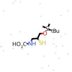 CC(C)(C)[Si](C)(C)OCC(S)CNC(=O)O